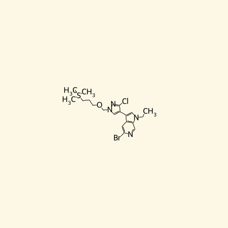 CCn1cc(-c2cn(COCCCS(C)(C)C)nc2Cl)c2cc(Br)ncc21